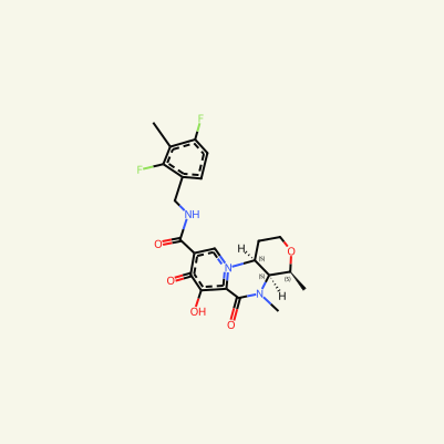 Cc1c(F)ccc(CNC(=O)c2cn3c(c(O)c2=O)C(=O)N(C)[C@@H]2[C@H](C)OCC[C@@H]23)c1F